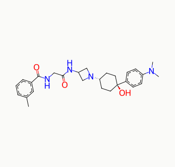 Cc1cccc(C(=O)NCC(=O)NC2CN([C@H]3CC[C@@](O)(c4ccc(N(C)C)cc4)CC3)C2)c1